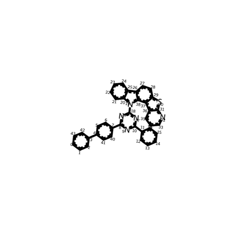 c1ccc(-c2ccc(-c3nc(-c4ccccc4)nc(-n4c5ccccc5c5ccc6sc7ncccc7c6c54)n3)cc2)cc1